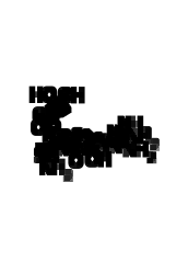 Nc1nc(/C(=N/O[C@H](C(=O)O)c2ccc(O)c(O)c2)C(=O)NC2C(=O)N3C(C(=O)O)=C(CSc4nc(N)c(N)c(N)n4)CS[C@H]23)cs1